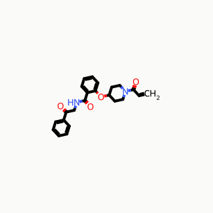 C=CC(=O)N1CCC(Oc2ccccc2C(=O)NCC(=O)c2ccccc2)CC1